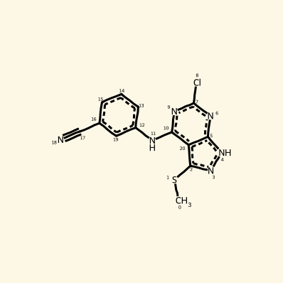 CSc1n[nH]c2nc(Cl)nc(Nc3cccc(C#N)c3)c12